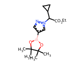 CCOC(=O)C(C1CC1)n1cc(B2OC(C)(C)C(C)(C)O2)cn1